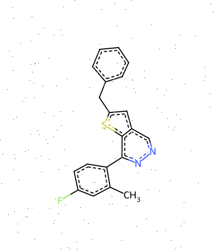 Cc1cc(F)ccc1-c1nncc2cc(Cc3ccccc3)sc12